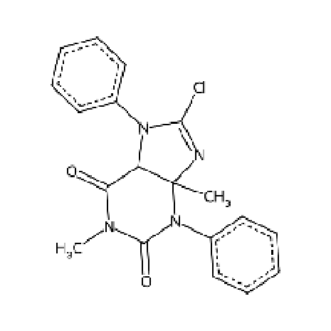 CN1C(=O)C2N(c3ccccc3)C(Cl)=NC2(C)N(c2ccccc2)C1=O